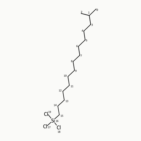 CC(C)CCCCCCCCCCCCC[Si](Cl)(Cl)Cl